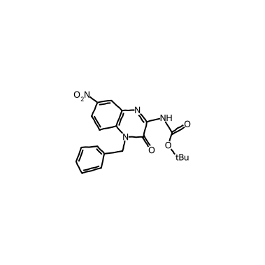 CC(C)(C)OC(=O)Nc1nc2cc([N+](=O)[O-])ccc2n(Cc2ccccc2)c1=O